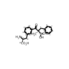 C[C@@](Cc1ccccc1)(C(=O)c1cccc(C[C@H](N)C(=O)O)c1)N(O)C=O